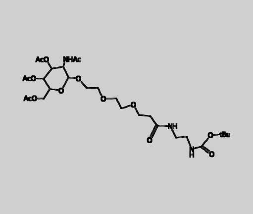 CC(=O)NC1C(OCCOCCOCCC(=O)NCCNC(=O)OC(C)(C)C)OC(COC(C)=O)C(OC(C)=O)C1OC(C)=O